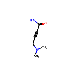 CN(C)CC#CC(N)=O